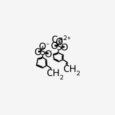 C=Cc1cccc(S(=O)(=O)[O-])c1.C=Cc1cccc(S(=O)(=O)[O-])c1.[Ca+2]